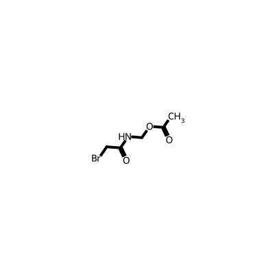 CC(=O)OCNC(=O)CBr